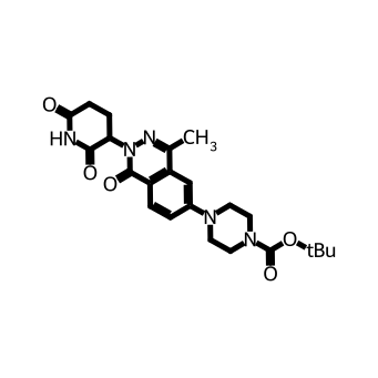 Cc1nn(C2CCC(=O)NC2=O)c(=O)c2ccc(N3CCN(C(=O)OC(C)(C)C)CC3)cc12